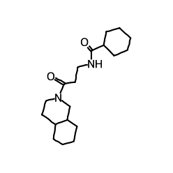 O=C(NCCC(=O)N1CCC2CCCCC2C1)C1CCCCC1